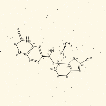 C[C@H]1C[C@@]2(C[C@@H](c3ccc4c(c3)NC(=O)CO4)N1)OCCc1cc(Cl)sc12